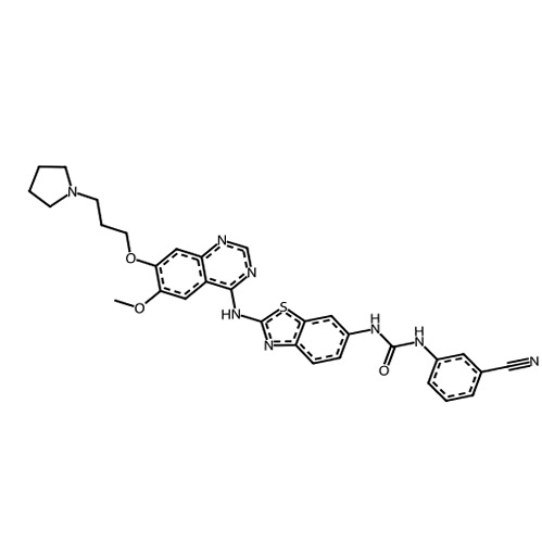 COc1cc2c(Nc3nc4ccc(NC(=O)Nc5cccc(C#N)c5)cc4s3)ncnc2cc1OCCCN1CCCC1